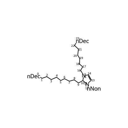 CCCCCCCCCCCCCCCCCCCC1N(CCCCCCCCC)C=CN1CCCCCCCCCCCCCCCCC